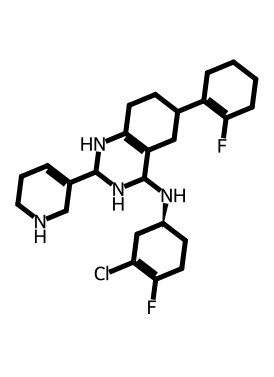 FC1=C(Cl)C[C@@H](NC2NC(C3=CCCNC3)NC3=C2CC(C2=C(F)CCCC2)CC3)CC1